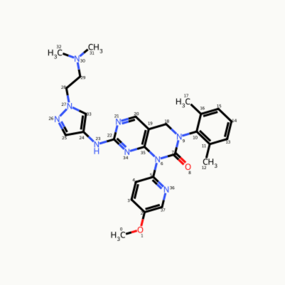 COc1ccc(N2C(=O)N(c3c(C)cccc3C)Cc3cnc(Nc4cnn(CCN(C)C)c4)nc32)nc1